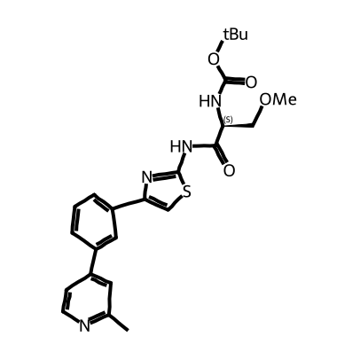 COC[C@H](NC(=O)OC(C)(C)C)C(=O)Nc1nc(-c2cccc(-c3ccnc(C)c3)c2)cs1